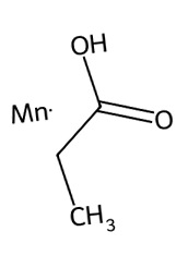 CCC(=O)O.[Mn]